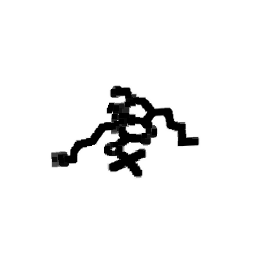 CCCCCC(CN(O)C=O)C(=O)NN(CCCCO)C(=O)OC(C)(C)C